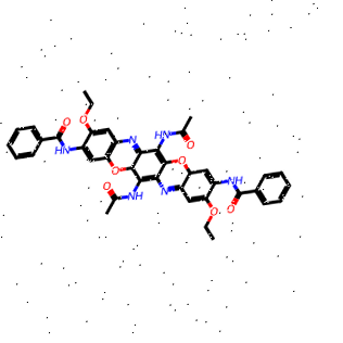 CCOC1=CC2=NC3=C(NC(C)=O)C4Oc5cc(NC(=O)c6ccccc6)c(OCC)cc5N=C4C(NC(C)=O)=C3OC2C=C1NC(=O)c1ccccc1